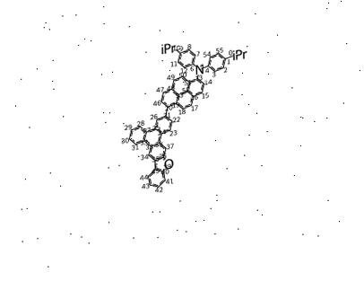 CC(C)c1ccc(N(c2ccc(C(C)C)cc2)c2ccc3ccc4c(-c5ccc6c(c5)c5ccccc5c5cc7c(cc65)oc5ccccc57)ccc5ccc2c3c54)cc1